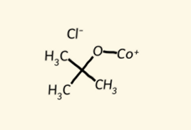 CC(C)(C)[O][Co+].[Cl-]